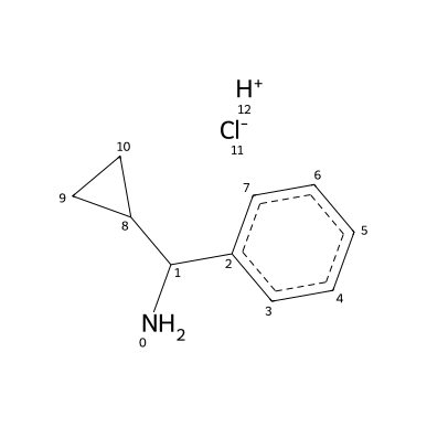 NC(c1ccccc1)C1CC1.[Cl-].[H+]